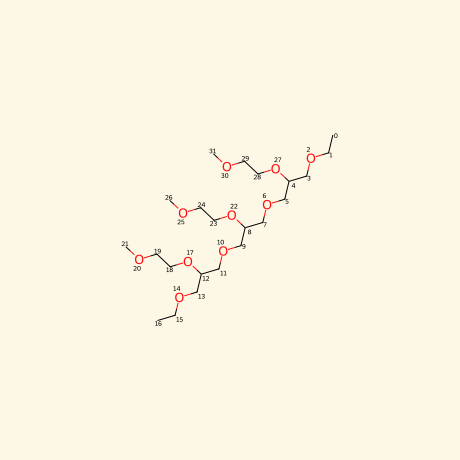 CCOCC(COCC(COCC(COCC)OCCOC)OCCOC)OCCOC